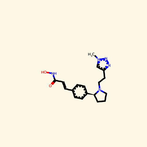 Cn1cc(CCN2CCC[C@H]2c2ccc(/C=C/C(=O)NO)cc2)nn1